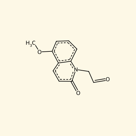 COc1cccc2c1ccc(=O)n2CC=O